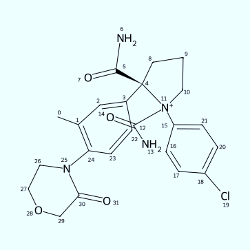 Cc1cc([C@]2(C(N)=O)CCC[N+]2(C(N)=O)c2ccc(Cl)cc2)ccc1N1CCOCC1=O